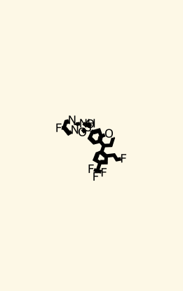 O=S(=O)(Nc1ncc(F)cn1)c1ccc2c(c1)OCCC2c1ccc(C(F)(F)F)cc1CCF